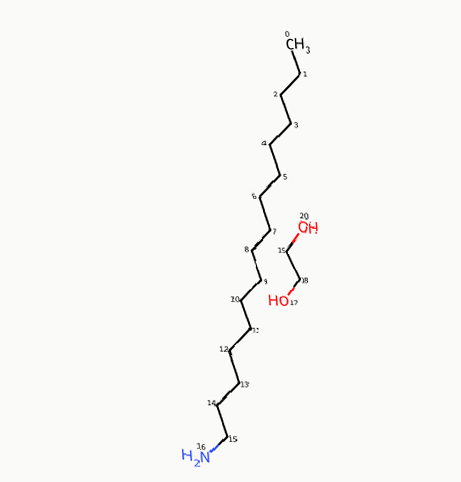 CCCCCCCCCCCCCCCCN.OCCO